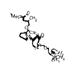 COC(=O)CC(C)COC[C@@H]1CCCN1c1cnn(COCC[Si](C)(C)C)c(=O)c1C(F)(F)F